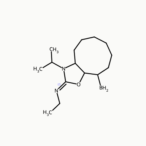 BC1CCCCCCC2C1O/C(=N\CC)N2C(C)C